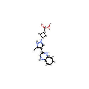 COC(=O)C1CC(n2cc(-c3cnc4ccccc4n3)c(C)n2)C1